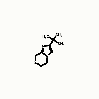 CC(C)(C)c1cn2c(n1)CSCC2